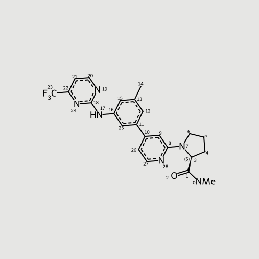 CNC(=O)[C@@H]1CCCN1c1cc(-c2cc(C)cc(Nc3nccc(C(F)(F)F)n3)c2)ccn1